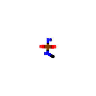 CNS([NH])(=O)=O